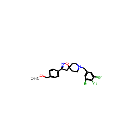 O=COCc1ccc(C2=NOC3(CCN(Cc4cc(Br)c(Cl)c(Br)c4)CC3)C2)cc1